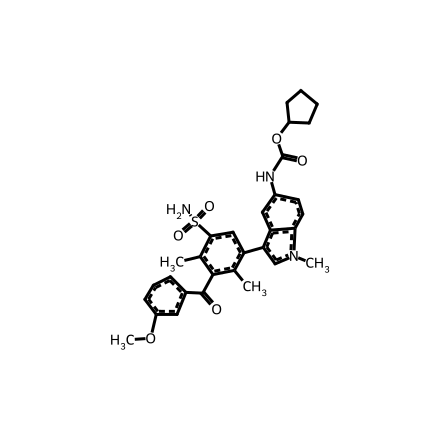 COc1cccc(C(=O)c2c(C)c(-c3cn(C)c4ccc(NC(=O)OC5CCCC5)cc34)cc(S(N)(=O)=O)c2C)c1